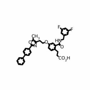 Cc1oc(-c2ccc(-c3ccccc3)cc2)nc1CCOc1ccc(CCC(=O)O)c(C(=O)NCc2cc(F)cc(F)c2)c1